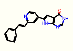 O=c1[nH]cnc2[nH]c(-c3ccnc(/C=C/c4ccccc4)c3)cc12